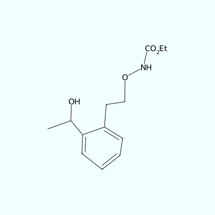 CCOC(=O)NOCCc1ccccc1C(C)O